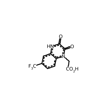 O=C(O)Cn1c(=O)c(=O)[nH]c2cc(C(F)(F)F)ccc21